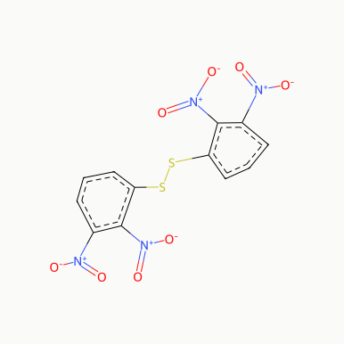 O=[N+]([O-])c1cccc(SSc2cccc([N+](=O)[O-])c2[N+](=O)[O-])c1[N+](=O)[O-]